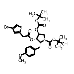 COc1ccc(C[C@@H]2[C@H](OC(=O)Cc3cc(Br)cs3)[C@@H](OC(=O)OC(C)(C)C)CN2C(=O)OC(C)(C)C)cc1